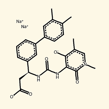 Cc1ccc(-c2cccc([C@H](CC(=O)[O-])NC(=O)Nc3c([O-])c(C)cn(C)c3=O)c2)cc1C.[Na+].[Na+]